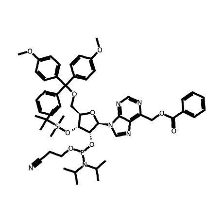 COc1ccc(C(OC[C@H]2O[C@@H](n3cnc4c(COC(=O)c5ccccc5)ncnc43)[C@H](OP(OCCC#N)N(C(C)C)C(C)C)[C@@H]2O[Si](C)(C)C(C)(C)C)(c2ccccc2)c2ccc(OC)cc2)cc1